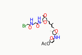 CC(=O)O[C@@H](C)/C=C\C(=O)N[C@@H]1C[C@H](C)[C@H](C/C=C(C)/C=C/[C@@H]2C[C@]3(CO3)C[C@@H](CNC(=O)CCNC(=O)CBr)O2)O[C@@H]1C